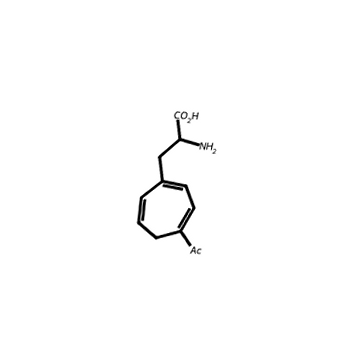 CC(=O)C1=CC=C(CC(N)C(=O)O)C=CC1